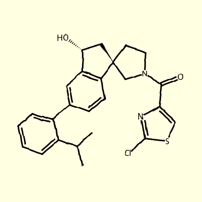 CC(C)c1ccccc1-c1ccc2c(c1)[C@H](O)C[C@]21CCN(C(=O)c2csc(Cl)n2)C1